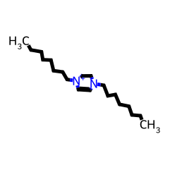 CCCCCCCCN1C=C[N+](CCCCCCCC)=CC1